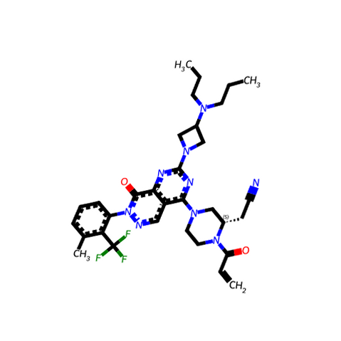 C=CC(=O)N1CCN(c2nc(N3CC(N(CCC)CCC)C3)nc3c(=O)n(-c4cccc(C)c4C(F)(F)F)ncc23)C[C@@H]1CC#N